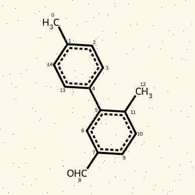 Cc1ccc(-c2cc(C=O)ccc2C)cc1